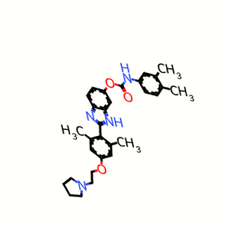 Cc1ccc(NC(=O)Oc2ccc3nc(-c4c(C)cc(OCCN5CCCC5)cc4C)[nH]c3c2)cc1C